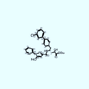 CC(C)COC(=O)[C@H](O)C[C@@H](Cc1ccc(-c2cccc(Cl)c2)cc1)NC(=O)c1cc(O)n(-c2ccccn2)n1